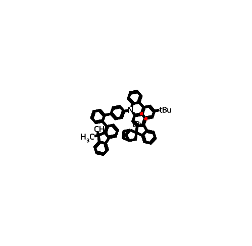 CC(C)(C)c1cc(-c2ccccc2N(c2ccc(-c3ccccc3-c3cccc4c3C(C)(C)c3ccccc3-4)cc2)c2ccc3c(c2)C2(CC4CCC2C4)c2ccccc2-3)cc(C(C)(C)C)c1